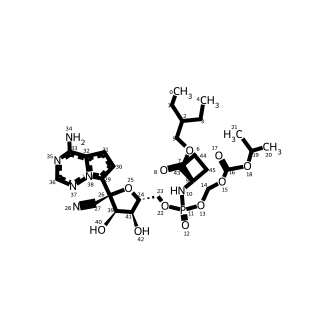 CCC(CC)COC(=O)C1(NP(=O)(OCOC(=O)OC(C)C)OC[C@H]2O[C@@](C#N)(c3ccc4c(N)ncnn34)[C@H](O)[C@@H]2O)CCC1